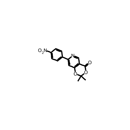 CC1(C)OC(=O)c2cnc(-c3ccc([N+](=O)[O-])cc3)cc2O1